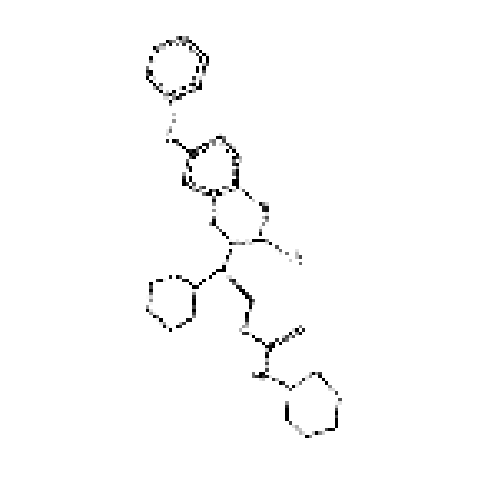 NC1=Nc2ccc(Oc3ccccc3)cc2CN1[C@@H](COC(=O)NC1CCCCC1)C1CCCCC1